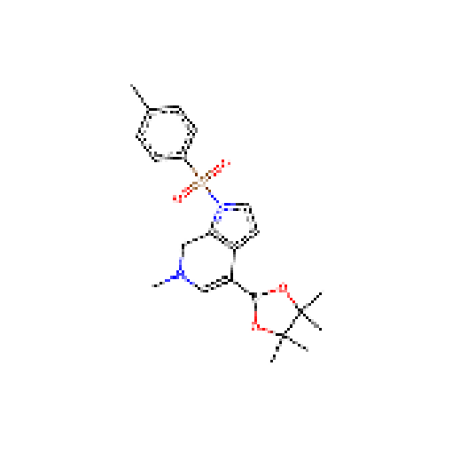 Cc1ccc(S(=O)(=O)n2ccc3c2CN(C)C=C3B2OC(C)(C)C(C)(C)O2)cc1